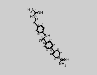 N=C(N)NCCc1ccc(NC(=O)c2ccc(C3=CCN(C(=N)N)CC3)cc2)cc1